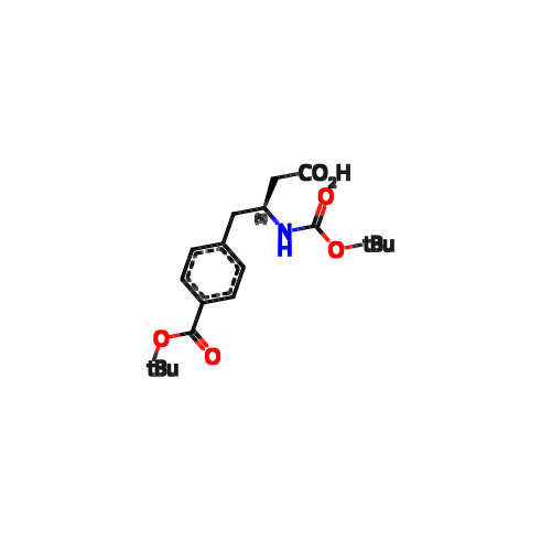 CC(C)(C)OC(=O)N[C@H](CC(=O)O)Cc1ccc(C(=O)OC(C)(C)C)cc1